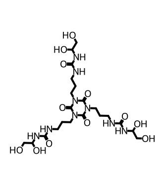 O=C(NCCCn1c(=O)n(CCCNC(=O)NC(O)CO)c(=O)n(CCCNC(=O)NC(O)CO)c1=O)NC(O)CO